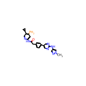 Cn1cc(Nc2ncc(-c3ccc(CC(=O)Nc4cc(P)c(C5CC5)cn4)cc3)cn2)cn1